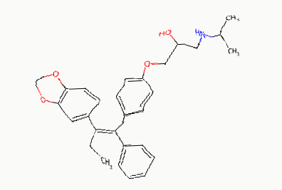 CCC(=C(c1ccccc1)c1ccc(OCC(O)CNC(C)C)cc1)c1ccc2c(c1)OCO2